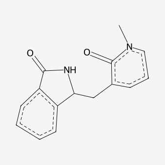 Cn1cccc(CC2NC(=O)c3ccccc32)c1=O